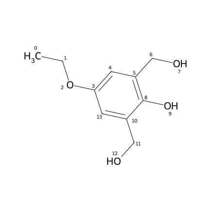 CCOc1cc(CO)c(O)c(CO)c1